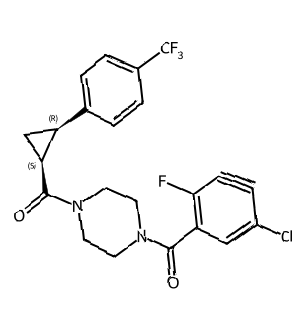 O=C(c1cc(Cl)c#cc1F)N1CCN(C(=O)[C@H]2C[C@H]2c2ccc(C(F)(F)F)cc2)CC1